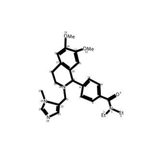 CCN(CC)C(=O)c1ccc(C2c3cc(OC)c(OC)cc3CCN2Cc2cncn2C)cc1